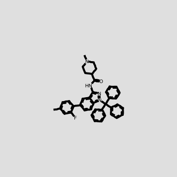 Cc1ccc(-c2ccc3c(c2)c(NC(=O)C2CCN(C)CC2)nn3C(c2ccccc2)(c2ccccc2)c2ccccc2)c(F)c1